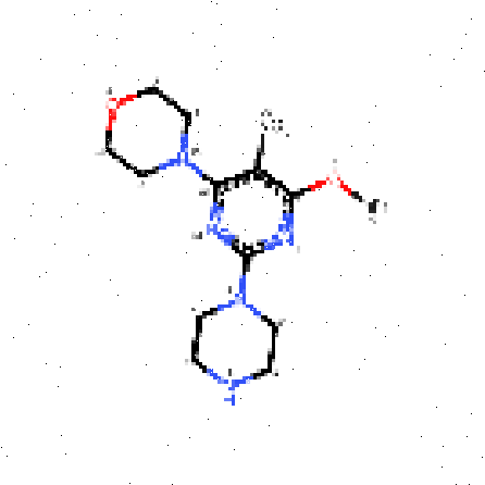 CCCOc1nc(N2CCNCC2)nc(N2CCOCC2)c1[N+](=O)[O-]